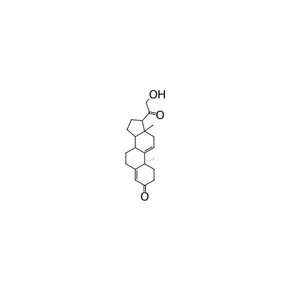 CC12CC=C3C(CCC4=CC(=O)CC[C@@]43C)C1CCC2C(=O)CO